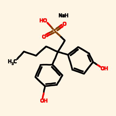 CCCCC(CS(=O)(=O)O)(c1ccc(O)cc1)c1ccc(O)cc1.[NaH]